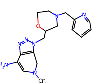 NC1=CN(C(F)(F)F)Cc2c1nnn2CC1CN(Cc2ccccn2)CCO1